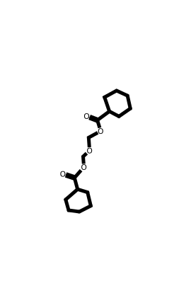 O=C(OCOCOC(=O)C1CCCCC1)C1CCCCC1